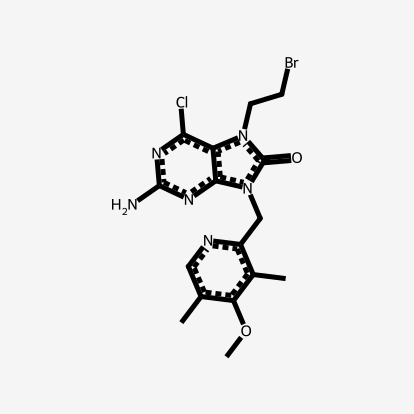 COc1c(C)cnc(Cn2c(=O)n(CCBr)c3c(Cl)nc(N)nc32)c1C